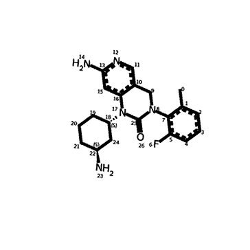 Cc1cccc(F)c1N1Cc2cnc(N)cc2N([C@H]2CCC[C@H](N)C2)C1=O